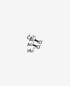 CC(=O)[O-].CC(=O)[O-].[Ca+2].[LiH]